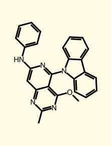 COc1nc(C)nc2cc(Nc3ccccc3)nc(-n3c4ccccc4c4ccccc43)c12